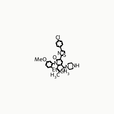 CCc1ccc(OC)cc1-n1c(C=C(C)C)c(C(=O)N2CCNCC2)cc(-c2nc(-c3ccc(Cl)cc3)cs2)c1=O